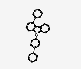 c1ccc(-c2ccc(-n3c4ccccc4c4c(-c5ccccc5)cccc43)cc2)cc1